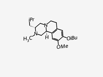 COc1cc2c(cc1OCC(C)C)CCN1C[C@@H](CC(C)C)N(C)C[C@H]21